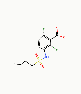 CCCCS(=O)(=O)Nc1ccc(Cl)c(C(=O)O)c1Cl